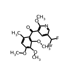 COc1cc(C)c(C(=O)c2cc(C(F)Br)cnc2OC)c(OC)c1OC